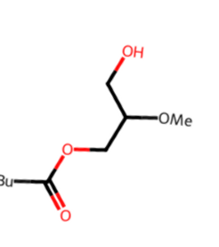 CCC(C)C(=O)OCC(CO)OC